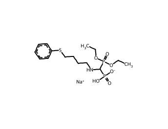 CCOP(=O)(OCC)C(NCCCCSc1ccccc1)P(=O)([O-])O.[Na+]